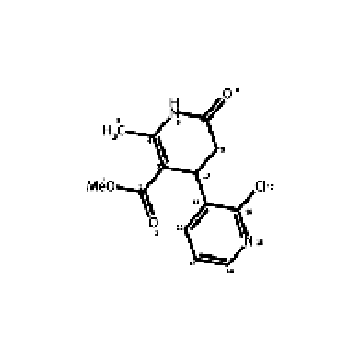 COC(=O)C1=C(C)NC(=O)CC1c1cccnc1Cl